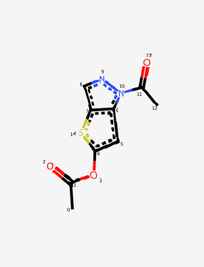 CC(=O)Oc1cc2c(cnn2C(C)=O)s1